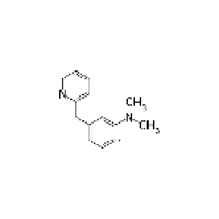 CN(C)c1[c]ccc(Cc2ccccn2)c1